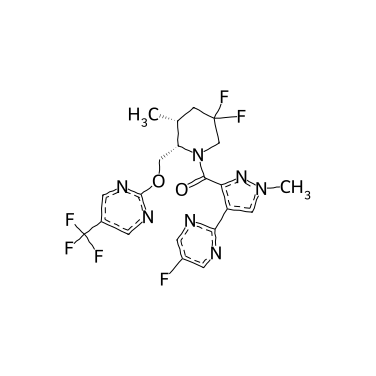 C[C@@H]1CC(F)(F)CN(C(=O)c2nn(C)cc2-c2ncc(F)cn2)[C@@H]1COc1ncc(C(F)(F)F)cn1